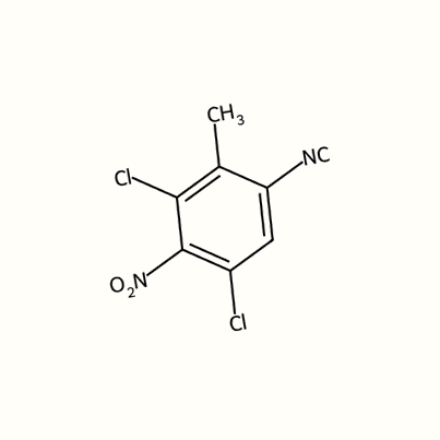 [C-]#[N+]c1cc(Cl)c([N+](=O)[O-])c(Cl)c1C